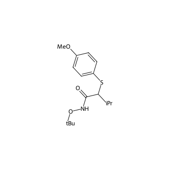 COc1ccc(SC(C(=O)NOC(C)(C)C)C(C)C)cc1